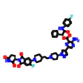 Nc1ncc(-c2cnn(C3CCN(CCC4CCN(c5cc6c(cc5F)C(=O)N(C5CCC(=O)NC5=O)C6=O)CC4)CC3)c2)nc1C(=O)O[C@@H](C(=O)Nc1ccc(F)cc1)c1ccccc1